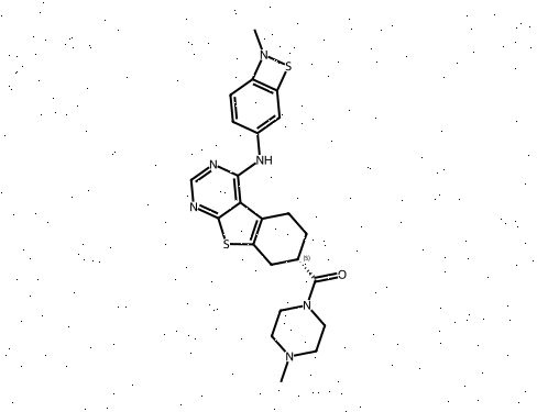 CN1CCN(C(=O)[C@H]2CCc3c(sc4ncnc(Nc5ccc6c(c5)sn6C)c34)C2)CC1